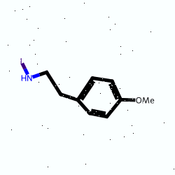 COc1ccc(CCNI)cc1